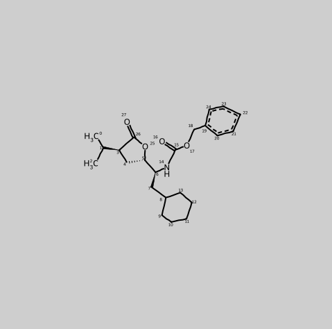 CC(C)[C@@H]1C[C@@H]([C@H](CC2CCCCC2)NC(=O)OCc2ccccc2)OC1=O